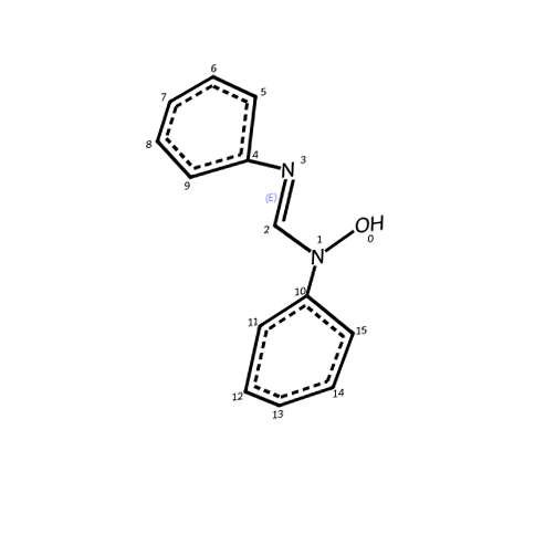 ON(/C=N/c1ccccc1)c1ccccc1